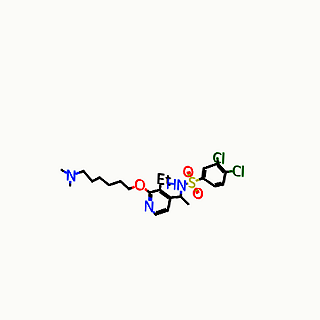 CCc1c(C(C)NS(=O)(=O)c2ccc(Cl)c(Cl)c2)ccnc1OCCCCCCN(C)C